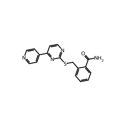 NC(=O)c1ccccc1CSc1nccc(-c2ccncc2)n1